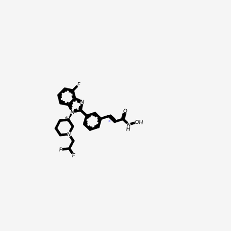 O=C(/C=C/c1cccc(-c2nc3c(F)cccc3n2[C@@H]2CCCN(CC(F)F)C2)c1)NO